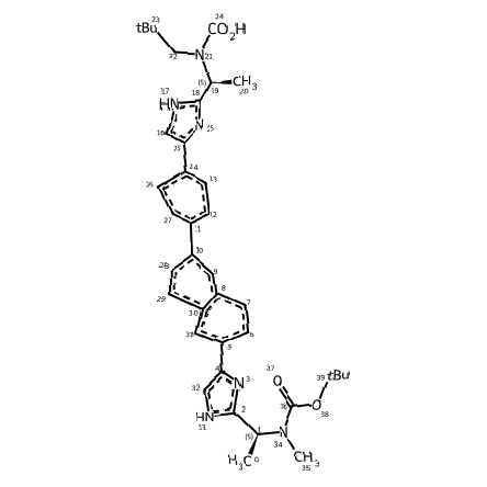 C[C@@H](c1nc(-c2ccc3cc(-c4ccc(-c5c[nH]c([C@H](C)N(CC(C)(C)C)C(=O)O)n5)cc4)ccc3c2)c[nH]1)N(C)C(=O)OC(C)(C)C